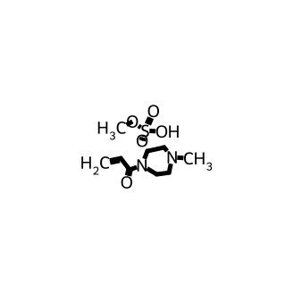 C=CC(=O)N1CCN(C)CC1.COS(=O)(=O)O